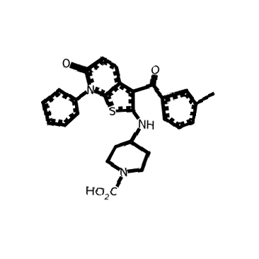 Cc1cccc(C(=O)c2c(NC3CCN(C(=O)O)CC3)sc3c2ccc(=O)n3-c2ccccc2)c1